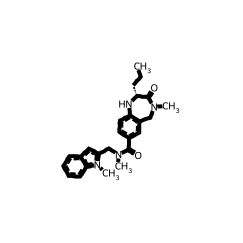 CCC[C@H]1Nc2ccc(C(=O)N(C)Cc3cc4ccccc4n3C)cc2CN(C)C1=O